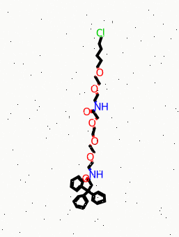 O=C(COCCOCCOCCNC(=O)CC(c1ccccc1)(c1ccccc1)c1ccccc1)NCCOCCOCCCCCCCl